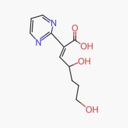 O=C(O)C(=CC(O)CCCO)c1ncccn1